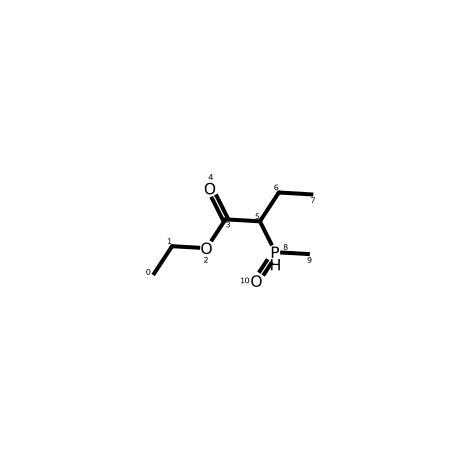 CCOC(=O)C(CC)[PH](C)=O